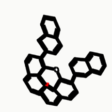 c1ccc2cc(-c3ccc4ccccc4c3Oc3c(-c4ccc5ccccc5c4)ccc4ccccc34)ccc2c1